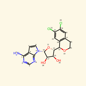 Nc1ncnc2c1ccn2[C@@H]1O[C@H]([C@@H]2OCCc3cc(Cl)c(Cl)cc32)[C@@H](O)[C@H]1O